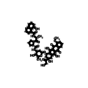 COc1cccc2c1C(=O)c1c(O)c3c(c(O)c1C2=O)C[C@@](O)(C(=O)CO)C[C@@H]3OC1CC(NC(=O)[C@@H]2CCCN2C(=O)[C@@H](C)NC(=O)c2ccnc3cccc(O)c23)C(O)C(C)O1